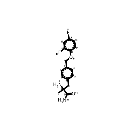 CC(N)(Cc1ccc(COc2ccc(F)cc2F)cc1)C(N)=O